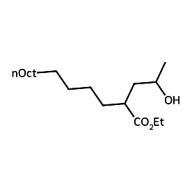 CCCCCCCCCCCCC(CC(C)O)C(=O)OCC